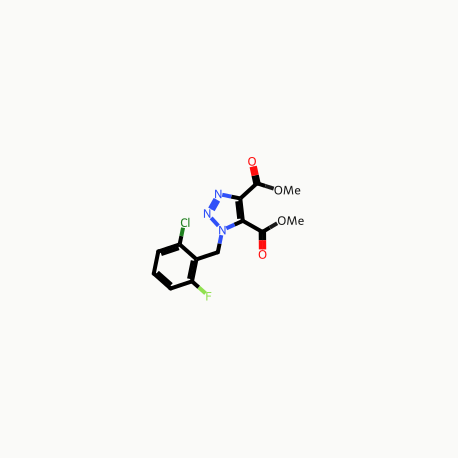 COC(=O)c1nnn(Cc2c(F)cccc2Cl)c1C(=O)OC